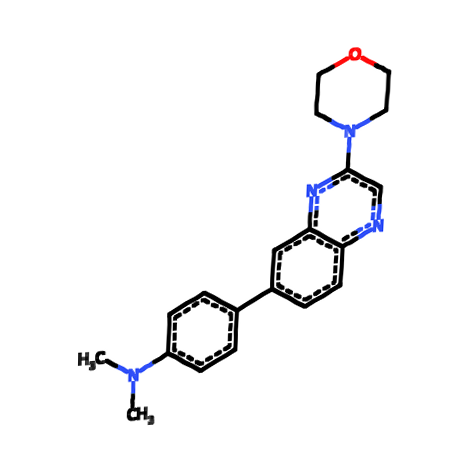 CN(C)c1ccc(-c2ccc3ncc(N4CCOCC4)nc3c2)cc1